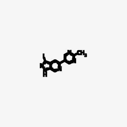 Cc1ncc(-c2cc3c(I)n[nH]c3cn2)cn1